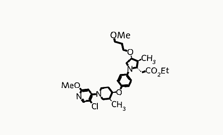 CCOC(=O)C[C@H]1[C@H](C)[C@@H](OCCCOC)CN1c1ccc(O[C@@H]2CCN(c3cc(OC)ncc3Cl)C[C@H]2C)cc1